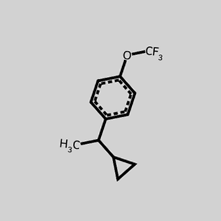 CC(c1ccc(OC(F)(F)F)cc1)C1CC1